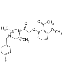 COc1cccc(OCC(=O)N2C[C@@H](C)N(Cc3ccc(F)cc3)C[C@@H]2C)c1C(C)=O